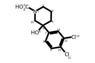 O=C(O)N1CCCC(O)(c2ccc(Cl)c(Cl)c2)C1